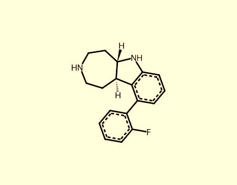 Fc1ccccc1-c1cccc2c1[C@H]1CCNCC[C@@H]1N2